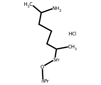 CCC[O][Sn][CH](C)CCCC(C)N.Cl